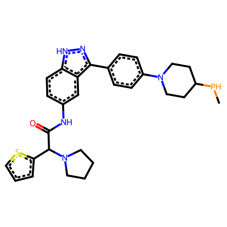 CPC1CCN(c2ccc(-c3n[nH]c4ccc(NC(=O)C(c5cccs5)N5CCCC5)cc34)cc2)CC1